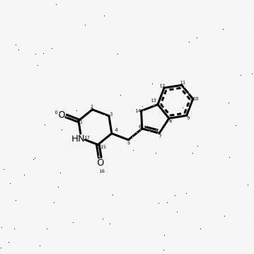 O=C1CCC(CC2=Cc3ccccc3C2)C(=O)N1